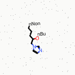 CCCCCCCCCCCCC(Cn1ccnc1)OCCCC